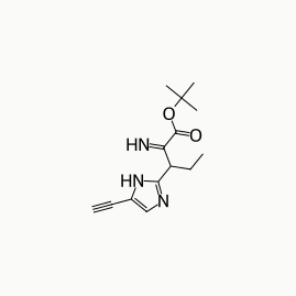 C#Cc1cnc(C(CC)C(=N)C(=O)OC(C)(C)C)[nH]1